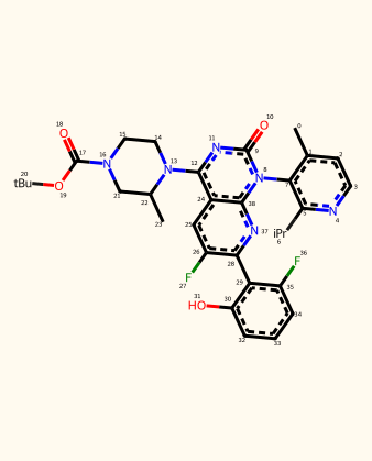 Cc1ccnc(C(C)C)c1-n1c(=O)nc(N2CCN(C(=O)OC(C)(C)C)CC2C)c2cc(F)c(-c3c(O)cccc3F)nc21